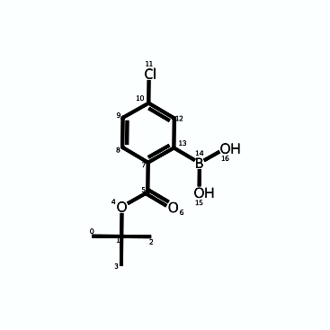 CC(C)(C)OC(=O)c1ccc(Cl)cc1B(O)O